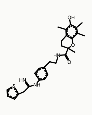 Cc1c(C)c2c(c(C)c1O)CCC(C)(C(=O)NCCc1ccc(NC(=N)Cc3cccs3)cc1)O2